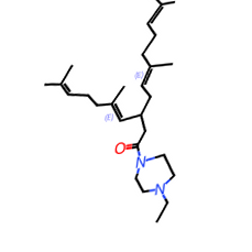 CCN1CCN(C(=O)CC(/C=C(\C)CCC=C(C)C)C/C=C(\C)CCC=C(C)C)CC1